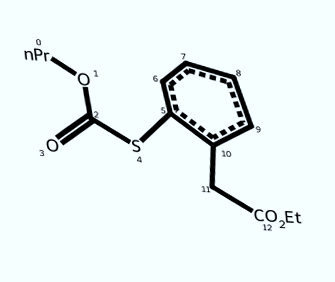 CCCOC(=O)Sc1ccccc1CC(=O)OCC